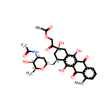 CCCCC(=O)OCC(=O)[C@]1(O)Cc2c(O)c3c(c(O)c2[C@@H](C[C@H]2C[C@H](NC(=O)C(F)(F)F)[C@H](O)[C@H](C)O2)C1)C(=O)c1c(OC)cccc1C3=O